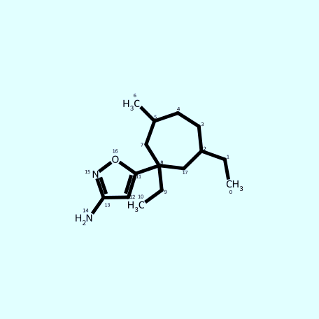 CCC1CCC(C)CC(CC)(c2cc(N)no2)C1